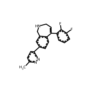 Cc1ccc(-c2ccc3c(c2)CNCC=C3c2cccc(F)c2F)nn1